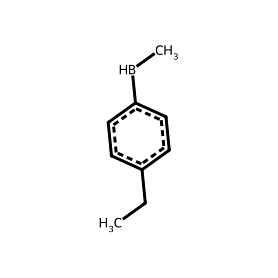 CBc1ccc(CC)cc1